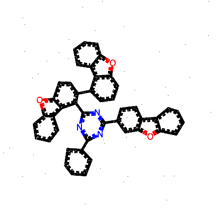 c1ccc(-c2nc(-c3ccc4c(c3)oc3ccccc34)nc(-c3c(-c4cccc5oc6ccccc6c45)ccc4oc5ccccc5c34)n2)cc1